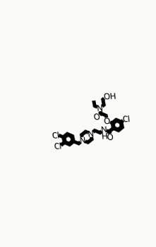 CCN(CCO)C(=O)COc1cc(Cl)ccc1C(=O)NCCN1CCN(Cc2ccc(Cl)c(Cl)c2)CC1